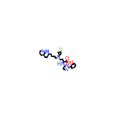 O=C(O)C(CCN(CCCCc1ccc2c(n1)NCCC2)C1CC(F)(F)C1)Nc1ccnc(-c2ccccc2)n1